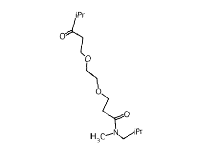 CC(C)CN(C)C(=O)CCOCCOCCC(=O)C(C)C